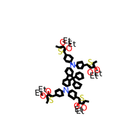 CCOc1c(C)sc(-c2ccc(N(c3ccc(-c4sc(C)c(OCC)c4OCC)cc3)c3ccc4c(c3)C(c3ccccc3)(c3ccccc3)c3cc(N(c5ccc(-c6sc(C)c(OCC)c6OCC)cc5)c5ccc(-c6sc(C)c(OCC)c6OCC)cc5)ccc3-4)cc2)c1OCC